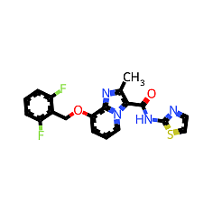 Cc1nc2c(OCc3c(F)cccc3F)cccn2c1C(=O)Nc1nccs1